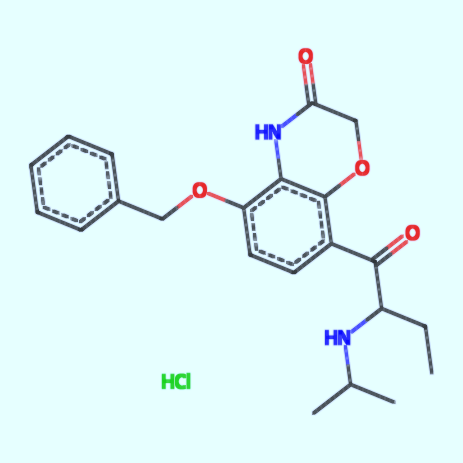 CCC(NC(C)C)C(=O)c1ccc(OCc2ccccc2)c2c1OCC(=O)N2.Cl